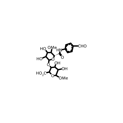 COC1OC(C(=O)O)C(OC2O[C@@H](C(=O)Nc3ccc(C=O)cc3)C(OC)C(O)C2O)C(O)C1O